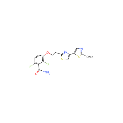 COc1ncc(-c2csc(CCOc3ccc(F)c(C(N)=O)c3F)n2)s1